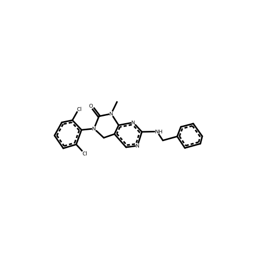 CN1C(=O)N(c2c(Cl)cccc2Cl)Cc2cnc(NCc3ccccc3)nc21